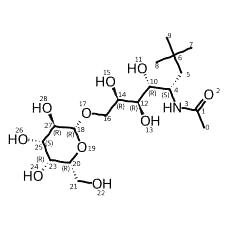 CC(=O)N[C@@H](CC(C)(C)C)[C@@H](O)[C@@H](O)[C@H](O)CO[C@@H]1O[C@H](CO)[C@H](O)[C@H](O)[C@H]1O